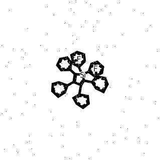 Fc1ccccc1C1=C(c2ccccc2)C(c2ccccc2)=C(c2ccccc2F)[Si]1(c1ccccc1)c1ccccc1